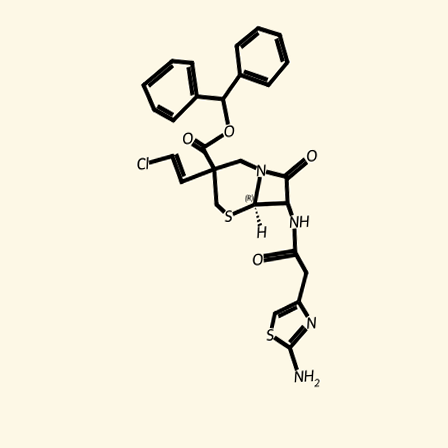 Nc1nc(CC(=O)NC2C(=O)N3CC(C=CCl)(C(=O)OC(c4ccccc4)c4ccccc4)CS[C@H]23)cs1